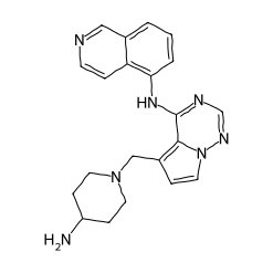 NC1CCN(Cc2ccn3ncnc(Nc4cccc5cnccc45)c23)CC1